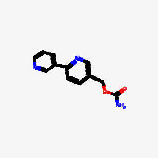 NC(=O)OCc1ccc(-c2cccnc2)nc1